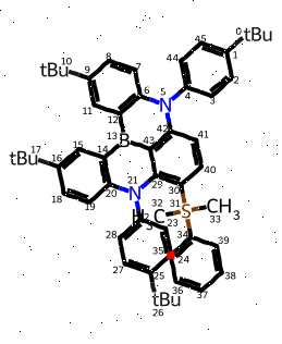 CC(C)(C)c1ccc(N2c3ccc(C(C)(C)C)cc3B3c4cc(C(C)(C)C)ccc4N(c4ccc(C(C)(C)C)cc4)c4c(S(C)(C)c5ccccc5)ccc2c43)cc1